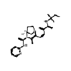 C=C(/C=C\C1=C(C)N(C(=C)Nc2ccccn2)[C@H]2CCN1C2)C(=C)NC(C)(C)CC